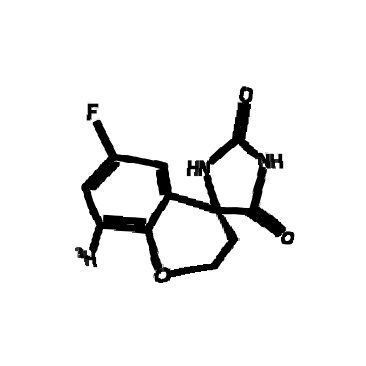 [3H]c1cc(F)cc2c1OCC[C@]21NC(=O)NC1=O